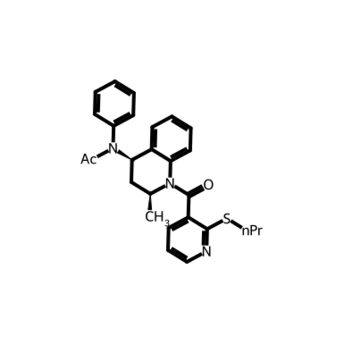 CCCSc1ncccc1C(=O)N1c2ccccc2[C@H](N(C(C)=O)c2ccccc2)C[C@@H]1C